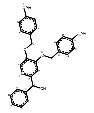 COc1ccc(COc2cnc(C(O)c3ccccc3)cc2OCc2ccc(OC)cc2)cc1